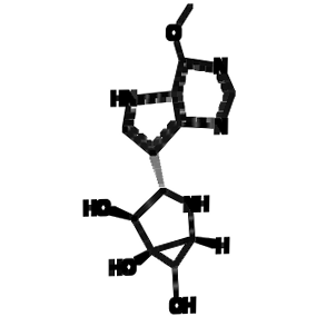 COc1ncnc2c([C@@H]3N[C@@H]4C(O)[C@]4(O)[C@H]3O)c[nH]c12